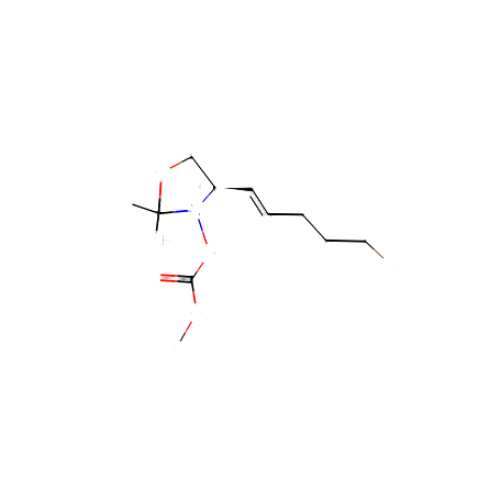 CC(C)(C)OC(=O)ON1[C@H](C=CCCCBr)COC1(C)C